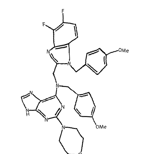 COc1ccc(CN(Cc2nc3c(F)c(F)ccc3n2Cc2ccc(OC)cc2)c2nc(N3CCOCC3)nc3[nH]cnc23)cc1